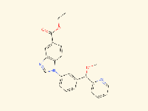 CCOC(=O)c1ccc2c(c1)ncn2-c1cccc(C(OC)c2ccccn2)c1